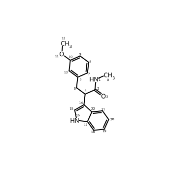 CNC(=O)C(Cc1cccc(OC)c1)c1c[nH]c2ccccc12